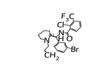 C=CCN1CCCC[C@H]1C(NC(=O)c1cccc(C(F)(F)F)c1Cl)c1cccc(Br)c1